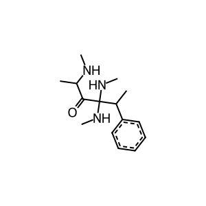 CNC(C)C(=O)C(NC)(NC)C(C)c1ccccc1